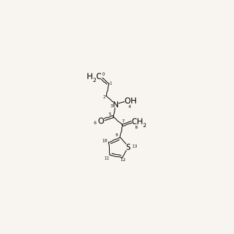 C=CCN(O)C(=O)C(=C)c1cccs1